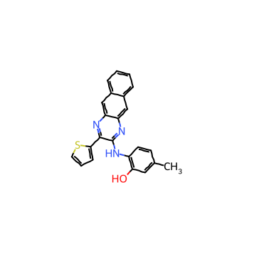 Cc1ccc(Nc2nc3cc4ccccc4cc3nc2-c2cccs2)c(O)c1